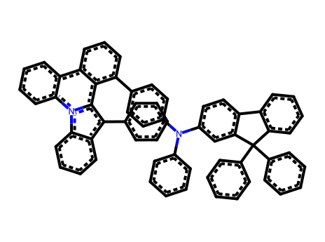 c1ccc(-c2c3ccccc3n3c4ccccc4c4cccc(-c5ccc(N(c6ccccc6)c6ccc7c(c6)C(c6ccccc6)(c6ccccc6)c6ccccc6-7)cc5)c4c23)cc1